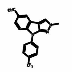 Cn1cc2c3cc(C=O)ccc3n(-c3ccc(C(F)(F)F)cc3)c2n1